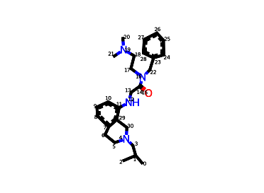 CC(C)CN1CCc2cccc(NCC(=O)N(CCN(C)C)Cc3ccccc3)c2C1